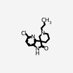 CCCN1CCCC2(C1)C(=O)Nc1ccc(Cl)nc12